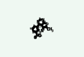 Cc1sc2ncnc(-c3cccc([N+](=O)[O-])c3)c2c1N